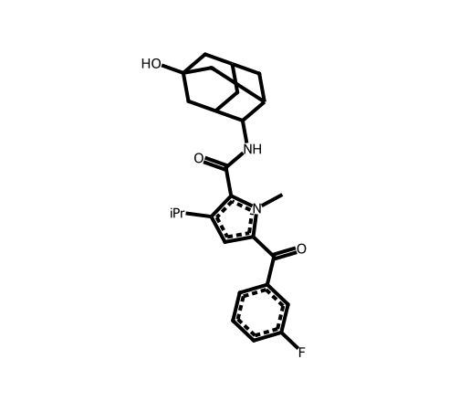 CC(C)c1cc(C(=O)c2cccc(F)c2)n(C)c1C(=O)NC1C2CC3CC1CC(O)(C3)C2